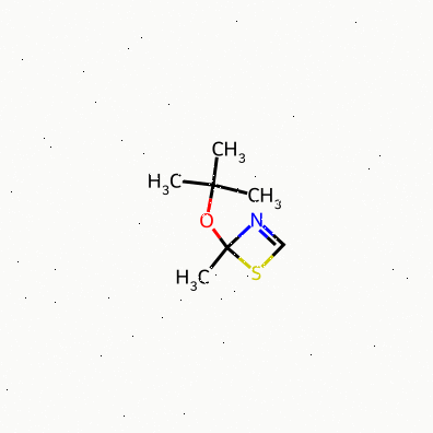 CC(C)(C)OC1(C)N=CS1